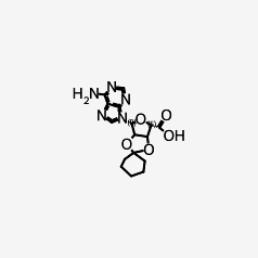 Nc1ncnc2c1ncn2[C@@H]1O[C@H](C(=O)O)C2OC3(CCCCC3)OC21